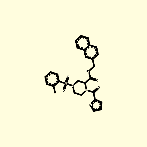 Cc1ccccc1S(=O)(=O)N1CCN(C(=O)c2cccs2)C(C(=O)NCc2ccc3ccccc3c2)C1